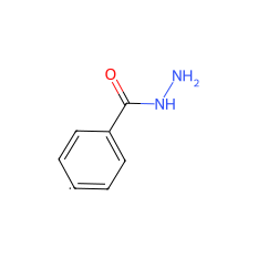 NNC(=O)c1cc[c]cc1